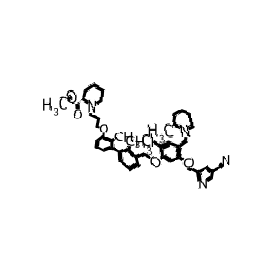 COC(=O)[C@@H]1CCCCN1CCCOc1cccc(-c2cccc(COc3cc(OCc4cncc(C#N)c4)c(CN4CCCC[C@H]4C)cc3Cl)c2C)c1C